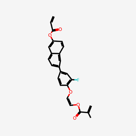 C=CC(=O)Oc1ccc2cc(-c3ccc(O/C=C\OC(=O)C(=C)C)c(F)c3)ccc2c1